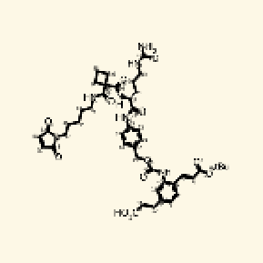 CC(C)(C)OC(=O)/C=C/c1ccc(/C=C/C(=O)O)cc1NC(=O)OCc1ccc(NC(=O)[C@H](CCCNC(N)=O)NC(=O)C2(C(=O)NCCCCCN3C(=O)C=CC3=O)CCC2)cc1